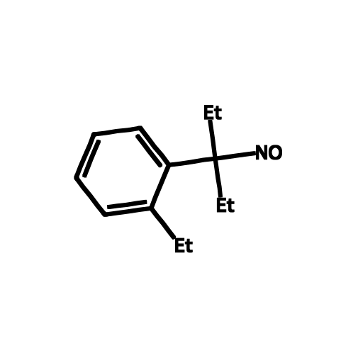 CCc1ccccc1C(CC)(CC)N=O